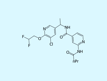 CCCC(=O)Nc1cc(C(=O)NC(C)c2cnc(OCC(F)F)c(Cl)c2)ccn1